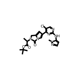 CC(C(=O)OC(C)(C)C)N1Cc2cc(-c3nc(Nc4ccnn4C)ncc3Cl)cn2C1=O